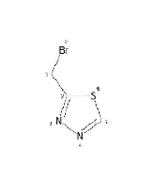 BrCc1nncs1